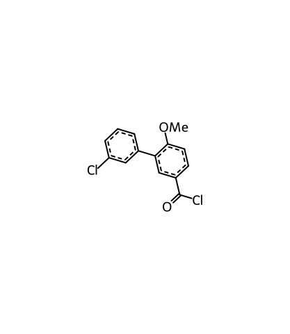 COc1ccc(C(=O)Cl)cc1-c1cccc(Cl)c1